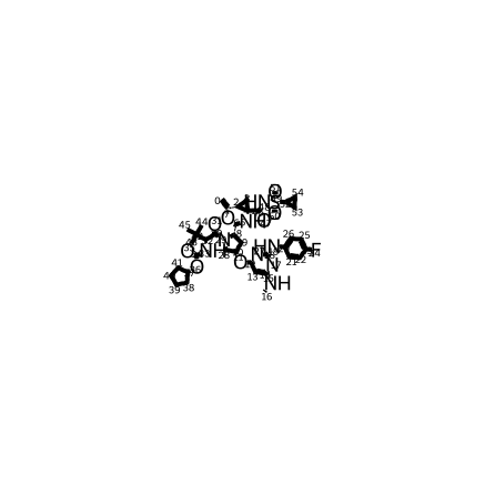 C=C[C@@H]1C[C@]1(NC(=O)[C@@H]1C[C@@H](Oc2cc(NC)nc(Nc3ccc(F)cc3)n2)CN1C(=O)[C@@H](NC(=O)OC1CCCC1)C(C)(C)C)C(=O)NS(=O)(=O)C1CC1